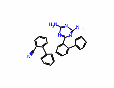 N#Cc1ccccc1-c1ccccc1.Nc1nc(N)nc(-c2ccccc2-c2ccccc2)n1